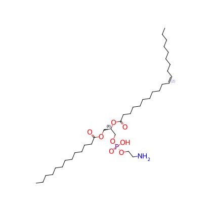 CCCCCCCC/C=C\CCCCCCCCCC(=O)O[C@H](COC(=O)CCCCCCCCCCCC)COP(=O)(O)OCCN